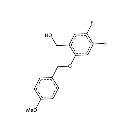 COc1ccc(COc2cc(F)c(F)cc2CO)cc1